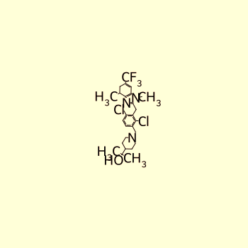 CC1CC(C(F)(F)F)=Cc2c1nc(Cc1c(Cl)ccc(CN3CCC(C(C)(C)O)CC3)c1Cl)n2C